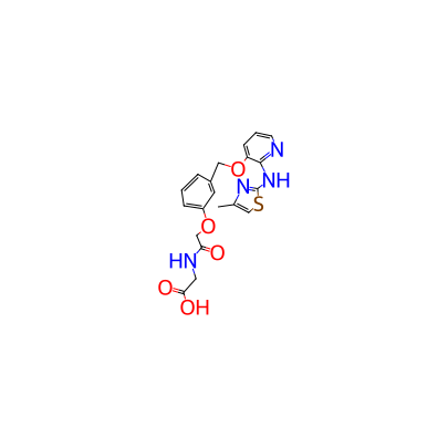 Cc1csc(Nc2ncccc2OCc2cccc(OCC(=O)NCC(=O)O)c2)n1